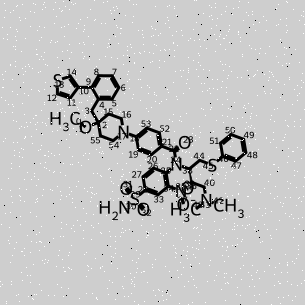 COC1(Cc2ccccc2-c2ccsc2)CCN(c2ccc(C(=O)N(c3ccc(S(N)(=O)=O)cc3[N+](=O)[O-])[C@H](CCN(C)C)CSc3ccccc3)cc2)CC1